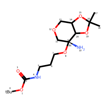 CC(C)(C)OC(=O)NCCCO[C@]1(N)COCC2OC(C)(C)OC21